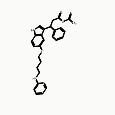 O=C(CC(c1ccccc1)c1c[nH]c2ccc(OCCCCNc3ccccn3)cc12)OC(=O)C(F)(F)F